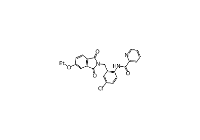 CCOc1ccc2c(c1)C(=O)N(Cc1cc(Cl)ccc1NC(=O)c1ccccn1)C2=O